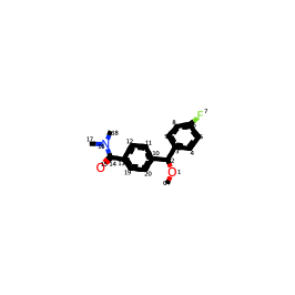 COC(c1ccc(F)cc1)c1ccc(C(=O)N(C)C)cc1